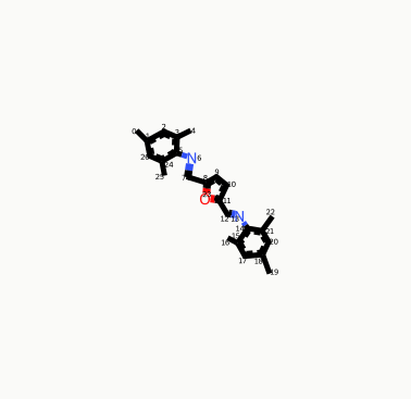 Cc1cc(C)c(/N=C/c2ccc(/C=N/c3c(C)cc(C)cc3C)o2)c(C)c1